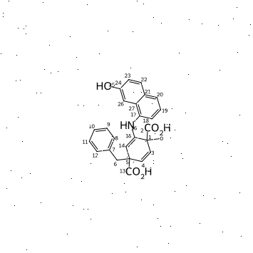 CC1(C(=O)O)C=CC(Cc2ccccc2)(C(=O)O)C=C1Nc1cccc2ccc(O)cc12